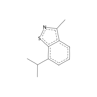 Cc1nsc2c(C(C)C)cccc12